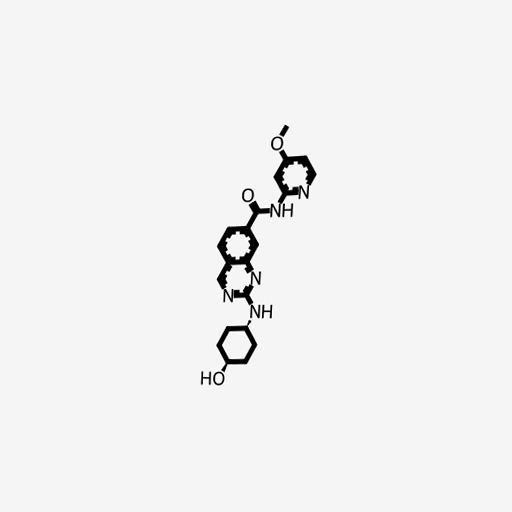 COc1ccnc(NC(=O)c2ccc3cnc(N[C@H]4CC[C@H](O)CC4)nc3c2)c1